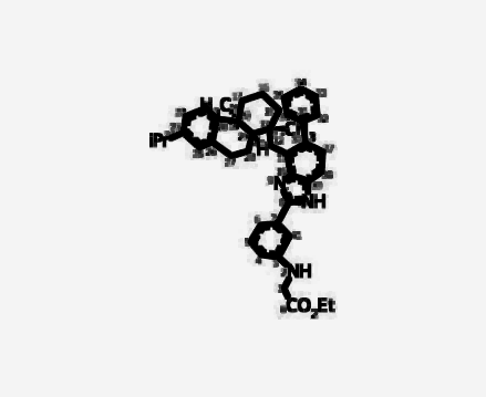 CCOC(=O)CNc1cccc(-c2nc3c(C[C@@]4(C)CCC[C@]5(C)c6ccc(C(C)C)cc6CC[C@@H]45)c(-c4ccccc4)ccc3[nH]2)c1